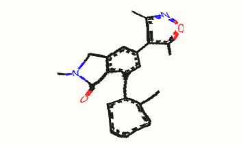 Cc1ccccc1-c1cc(-c2c(C)noc2C)cc2c1C(=O)N(C)C2